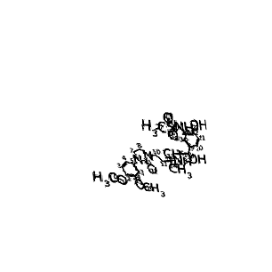 COc1ccc(N2CCN(CCC(C)(C)NCC(O)c3ccc(O)c(NS(C)(=O)=O)c3)C2=O)cc1OC